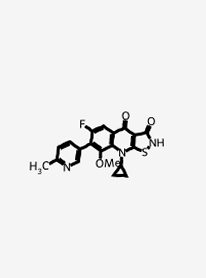 COc1c(-c2ccc(C)nc2)c(F)cc2c(=O)c3c(=O)[nH]sc3n(C3CC3)c12